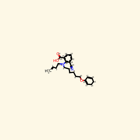 C=CCCN(CCCCCCOC1=CC[CH]C=C1)c1c(C#N)cccc1C(=O)O